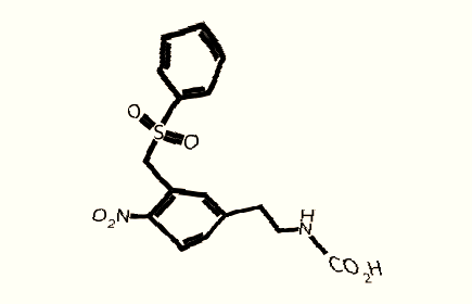 O=C(O)NCCc1ccc([N+](=O)[O-])c(CS(=O)(=O)c2ccccc2)c1